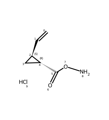 C=C[C@@H]1C[C@H]1C(=O)ON.Cl